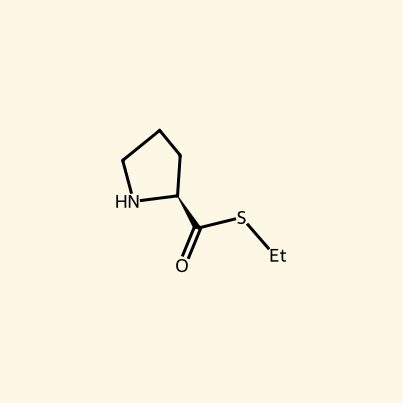 CCSC(=O)[C@@H]1CCCN1